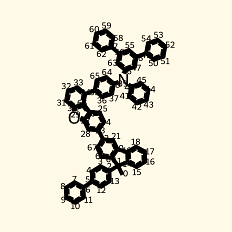 CC1(c2ccc(-c3ccccc3)cc2)c2ccccc2-c2cc(-c3ccc4c(c3)oc3cccc(-c5ccc(N(c6ccccc6)c6cc(-c7ccccc7)cc(-c7ccccc7)c6)cc5)c34)ccc21